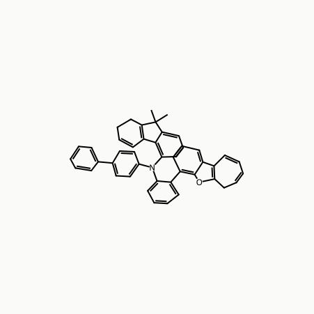 CC1(C)C2=C(C=CCC2)c2c(N(c3ccc(-c4ccccc4)cc3)c3ccccc3-c3cccc4c5c(oc34)CC=CC=C5)cccc21